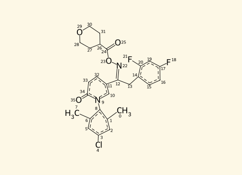 Cc1cc(Cl)cc(C)c1-n1cc(C(Cc2ccc(F)cc2F)=NOC(=O)C2CCOCC2)ccc1=O